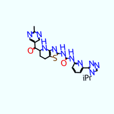 Cc1ncc(C(=O)C2CCc3sc(NC(=O)Nc4cccc(-c5nncn5C(C)C)n4)nc3N2)cn1